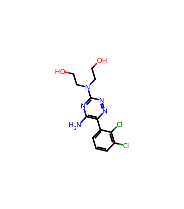 Nc1nc(N(CCO)CCO)nnc1-c1cccc(Cl)c1Cl